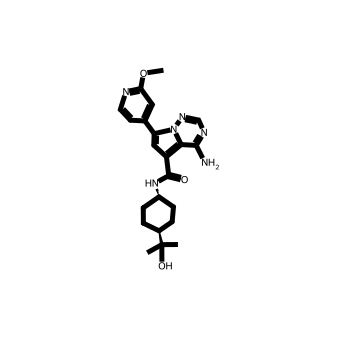 COc1cc(-c2cc(C(=O)N[C@H]3CC[C@H](C(C)(C)O)CC3)c3c(N)ncnn23)ccn1